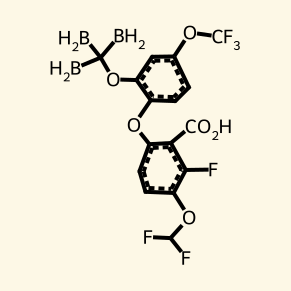 BC(B)(B)Oc1cc(OC(F)(F)F)ccc1Oc1ccc(OC(F)F)c(F)c1C(=O)O